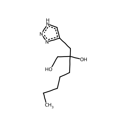 CCCCCC(O)(CO)Cc1c[nH]nn1